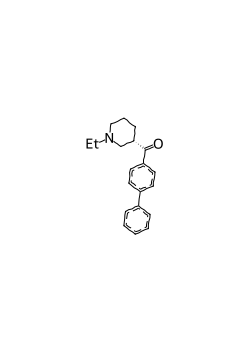 CCN1CCC[C@H](C(=O)c2ccc(-c3ccccc3)cc2)C1